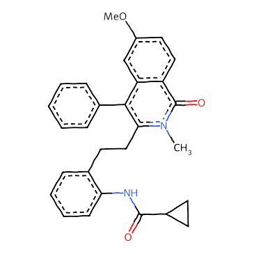 COc1ccc2c(=O)n(C)c(CCc3ccccc3NC(=O)C3CC3)c(-c3ccccc3)c2c1